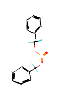 O=[PH](OC(F)(F)c1ccccc1)OC(F)(F)c1ccccc1